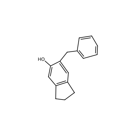 Oc1cc2c(cc1Cc1ccccc1)CCC2